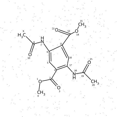 COC(=O)c1cc(NC(C)=O)c(C(=O)OC)cc1NC(C)=O